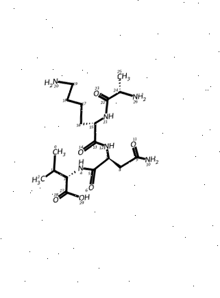 CC(C)[C@H](NC(=O)[C@H](CC(N)=O)NC(=O)[C@H](CCCCN)NC(=O)[C@H](C)N)C(=O)O